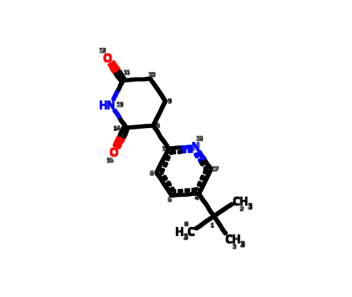 CC(C)(C)c1ccc(C2CCC(=O)NC2=O)nc1